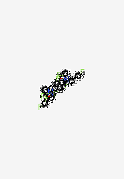 Fc1ccc(-c2ccc(F)c(N(c3cc4ccc5cc(N(c6cc(-c7ccc(F)cc7)ccc6F)c6ccccc6C(F)(F)F)cc6ccc(c3)c4c56)c3ccccc3C(F)(F)F)c2)cc1